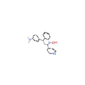 CN(C)c1ccc(C(C/C(=N/O)c2ccncc2)c2ccccc2)cc1